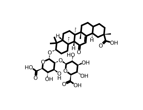 CC1(C)[C@@H](O[C@H]2O[C@H](C(=O)O)[C@@H](O)[C@H](O)[C@H]2O[C@@H]2O[C@H](C(=O)O)[C@@H](O)[C@H](O)[C@H]2O)CC[C@]2(C)[C@H]3C(=O)C=C4[C@@H]5C[C@@](C)(C(=O)O)CCC5CC[C@@]4(C)[C@]3(C)CC[C@@H]12